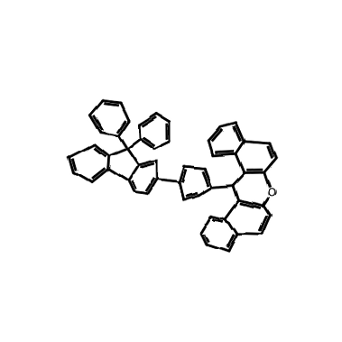 c1ccc(C2(c3ccccc3)c3ccccc3-c3ccc(-c4ccc(C5c6c(ccc7ccccc67)Oc6ccc7ccccc7c65)cc4)cc32)cc1